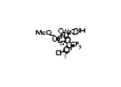 COCCO[C@H]1CSc2c(-c3cc(Cl)c(F)cc3F)c(C(F)(F)F)cc3c(N4CCNCC4)nc(=O)n(c23)C1